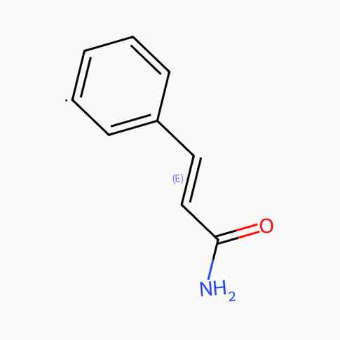 NC(=O)/C=C/c1c[c]ccc1